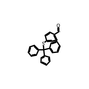 O=[C]c1ccc(SC(c2ccccc2)(c2ccccc2)c2ccccc2)cc1